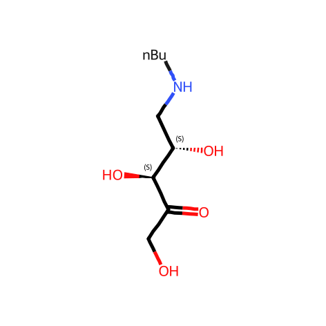 CCCCNC[C@H](O)[C@H](O)C(=O)CO